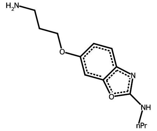 CCCNc1nc2ccc(OCCCN)cc2o1